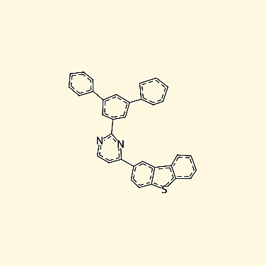 c1ccc(-c2cc(-c3ccccc3)cc(-c3nccc(-c4ccc5sc6ccccc6c5c4)n3)c2)cc1